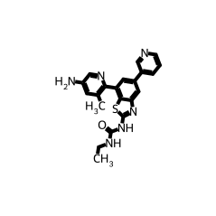 CCNC(=O)Nc1nc2cc(-c3cccnc3)cc(-c3ncc(N)cc3C)c2s1